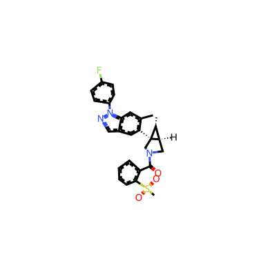 Cc1cc2c(cnn2-c2ccc(F)cc2)cc1[C@@]12CN(C(=O)c3ccccc3S(C)(=O)=O)C[C@@H]1[C@H]2C